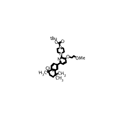 COCCOc1ccc(-c2ccc3c(c2)C(C)(C)CCC3(C)C)nc1N1CCN(C(=O)OC(C)(C)C)CC1